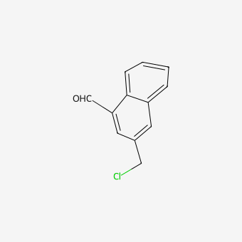 O=Cc1cc(CCl)cc2ccccc12